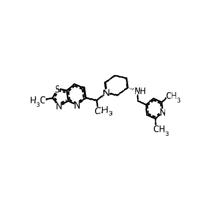 Cc1cc(CN[C@H]2CCCN(C(C)c3ccc4sc(C)nc4n3)C2)cc(C)n1